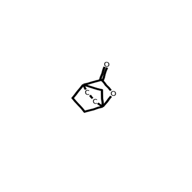 O=C1OC23CCC1(CC2)C3